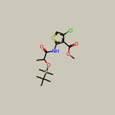 COC(=O)c1c(Cl)csc1NC(=O)C(C)O[Si](C)(C)C(C)(C)C